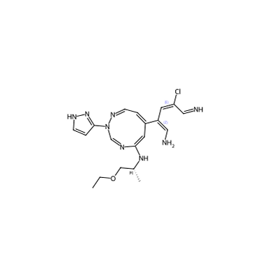 CCOC[C@@H](C)Nc1cc(C(=C\N)/C=C(/Cl)C=N)ccnn(-c2cc[nH]n2)cn1